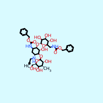 C#CCN[C@@H]1CC(NC(=O)OCc2ccccc2)[C@@H](O[C@H]2OC(CNC(=O)OCc3ccccc3)[C@@H](O)[C@H](O)C2O)[C@H](O)C1OC1O[C@H](CO)C(O)[C@@H](C)[C@H]1O